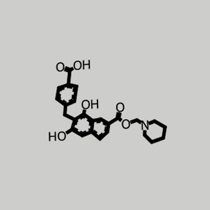 O=C(O)c1ccc(Cc2c(O)cc3ccc(C(=O)OCN4CCCCC4)cc3c2O)cc1